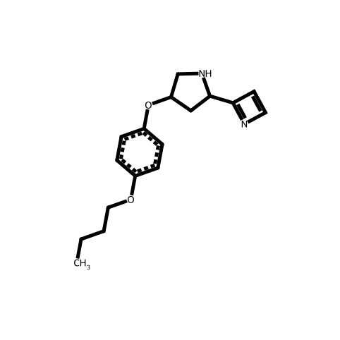 CCCCOc1ccc(OC2CNC(C3=NC=C3)C2)cc1